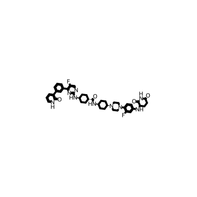 O=C1CCC(Nc2ccc(N3CCN([C@H]4CC[C@H](NC(=O)[C@H]5CC[C@H](Nc6ncc(F)c(-c7cccc(-c8ccc[nH]c8=O)c7)n6)CC5)CC4)CC3)c(F)c2)C(=O)N1